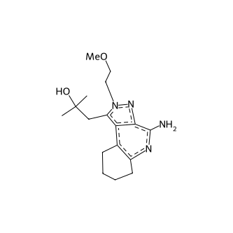 COCCn1nc2c(N)nc3c(c2c1CC(C)(C)O)CCCC3